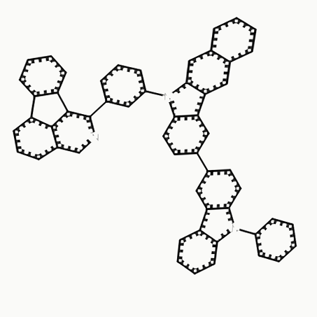 c1ccc(-n2c3ccccc3c3cc(-c4ccc5c(c4)c4cc6ccccc6cc4n5-c4cccc(-c5ncc6cccc7c6c5-c5ccccc5-7)c4)ccc32)cc1